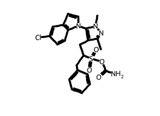 Cc1nn(C)c(-n2ccc3cc(Cl)ccc32)c1CC(Cc1ccccc1)S(=O)(=O)OC(N)=O